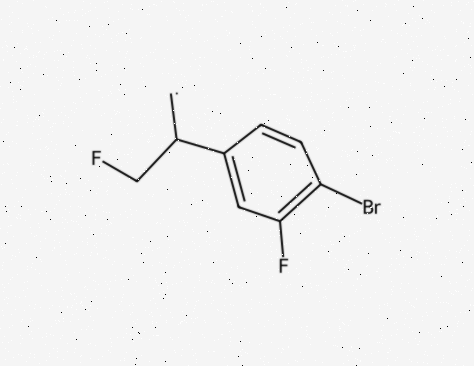 [CH2]C(CF)c1ccc(Br)c(F)c1